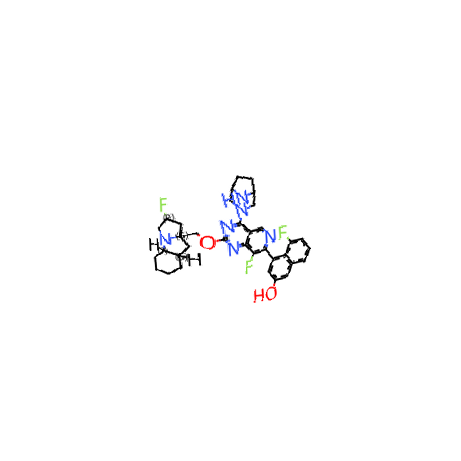 Oc1cc(-c2ncc3c(N4CC5CCC(C4)N5)nc(OC[C@]45C[C@@H](F)CN4[C@H]4CCCC[C@H]4C5)nc3c2F)c2c(F)cccc2c1